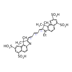 CCN1\C(=C/C=C/C=C/C2=Nc3ccc4c(S(=O)(=O)O)cc(S(=O)(=O)O)cc4c3C2(C)C)C(C)(C)c2c1ccc1c(S(=O)(=O)O)cc(S(=O)(=O)O)cc21